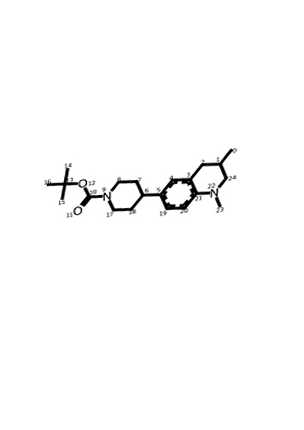 CC1Cc2cc(C3CCN(C(=O)OC(C)(C)C)CC3)ccc2N(C)C1